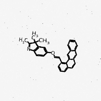 CC1=Nc2ccc(OC=Cc3cccc4ccc5cc6ccccc6cc5c34)cc2C1(C)C